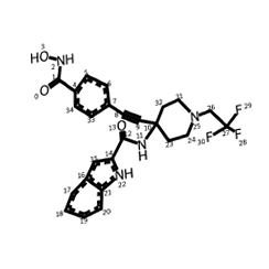 O=C(NO)c1ccc(C#CC2(NC(=O)c3cc4ccccc4[nH]3)CCN(CC(F)(F)F)CC2)cc1